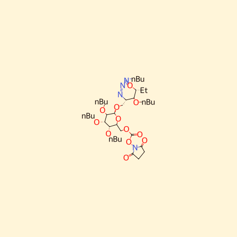 CCCCOC1[C@@H](OC[C@H](N=[N+]=[N-])[C@H](OCCCC)[C@@H](CC)OCCCC)OC(COC(=O)ON2C(=O)CCC2=O)[C@H](OCCCC)[C@@H]1OCCCC